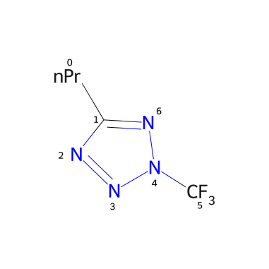 CCCc1nnn(C(F)(F)F)n1